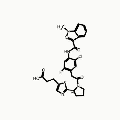 Cn1nc(C(=O)Nc2cc(F)c(CC(=O)N3CCC[C@H]3c3ncc(CCC(=O)O)s3)cc2Cl)c2ccccc21